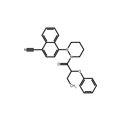 CCC(Oc1ccccc1)C(=O)N1CCCCN1c1ccc(C#N)c2ccccc12